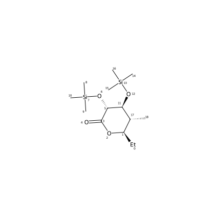 CC[C@H]1OC(=O)[C@H](O[Si](C)(C)C)[C@@H](O[Si](C)(C)C)[C@@H]1C